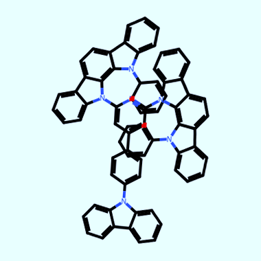 C1=CCC(n2c3ccccc3c3ccc4c5ccccc5n(-c5cc(-c6ccc(-n7c8ccccc8c8ccccc87)cc6)cc(-n6c7ccccc7c7ccc8c9ccccc9n(C9=CCCC=C9)c8c76)n5)c4c32)C=C1